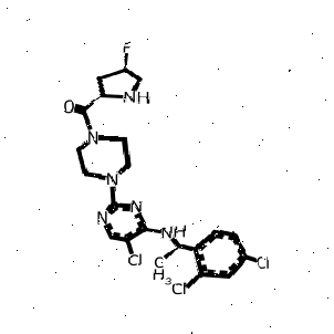 C[C@@H](Nc1nc(N2CCN(C(=O)[C@H]3C[C@@H](F)CN3)CC2)ncc1Cl)c1ccc(Cl)cc1Cl